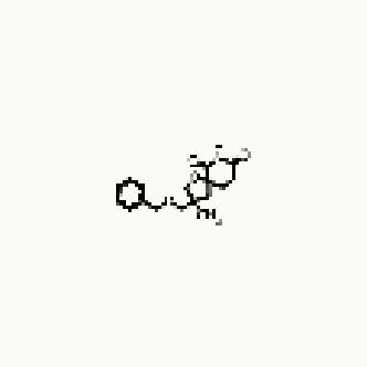 CC1(COCc2ccccc2)COC2(CCC(=O)NC2=O)C1